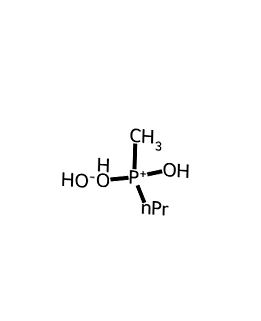 CCC[P+](C)(O)O.[OH-]